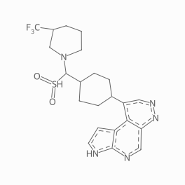 O=[SH](=O)C(C1CCC(c2cnnc3cnc4[nH]ccc4c23)CC1)N1CCCC(C(F)(F)F)C1